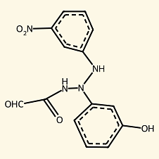 O=CC(=O)NN(Nc1cccc([N+](=O)[O-])c1)c1cccc(O)c1